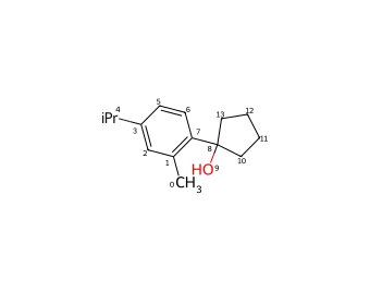 Cc1cc(C(C)C)ccc1C1(O)CCCC1